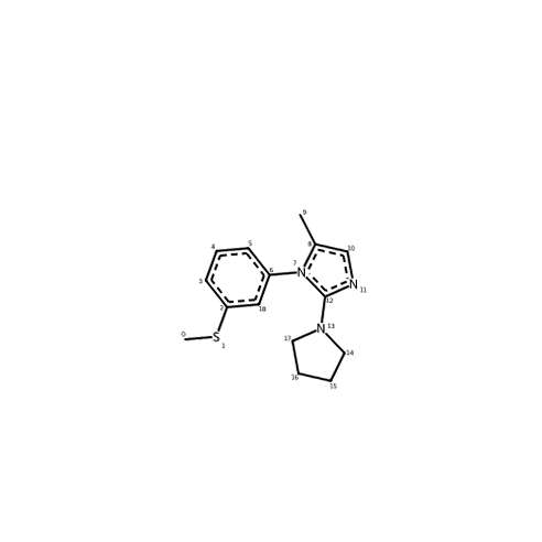 CSc1cccc(-n2c(C)cnc2N2CCCC2)c1